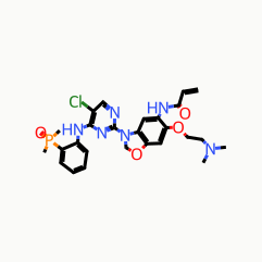 C=CC(=O)Nc1cc2c(cc1OCCN(C)C)OCN2c1ncc(Cl)c(Nc2ccccc2P(C)(C)=O)n1